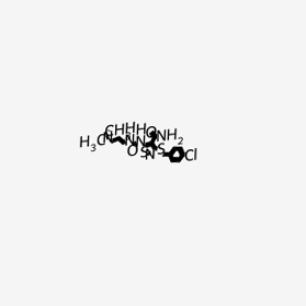 CN(C)CCCNC(=O)Nc1snc(SCc2ccc(Cl)cc2)c1C(N)=O